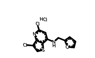 Cl.Clc1cc(NCc2ccco2)c2scc(Cl)c2n1